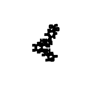 CS(=O)(=O)c1ccc(-c2nnc(-c3ccccc3NCC3CCOC3)[nH]2)cc1